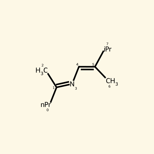 CCC/C(C)=N/C=C(\C)C(C)C